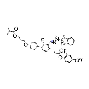 C=C(C)C(=O)OCCCOc1ccc(-c2ccc(CCC(=O)Oc3ccc(CCC)cc3F)c(/C=N/N(C)c3nc4ccccc4s3)c2F)cc1